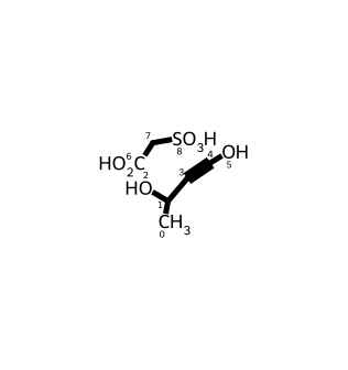 CC(O)C#CO.O=C(O)CS(=O)(=O)O